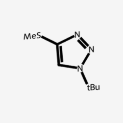 CSc1cn(C(C)(C)C)nn1